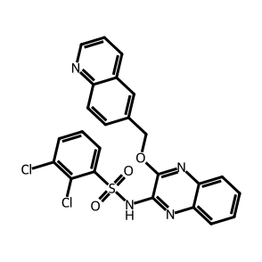 O=S(=O)(Nc1nc2ccccc2nc1OCc1ccc2ncccc2c1)c1cccc(Cl)c1Cl